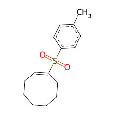 Cc1ccc(S(=O)(=O)C2=CCCCCCC2)cc1